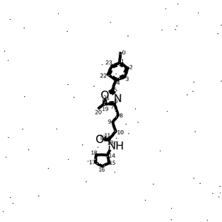 Cc1ccc(-c2nc(CCCC(=O)NC3CCCC3)c(C)o2)cc1